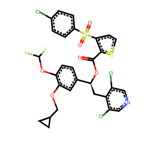 O=C(O[C@@H](Cc1c(Cl)cncc1Cl)c1ccc(OC(F)F)c(OCC2CC2)c1)c1sccc1S(=O)(=O)c1ccc(Cl)cc1